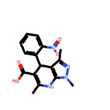 CC1=C(C(=O)O)C(c2ccccc2[N+](=O)[O-])c2c(C)nn(C)c2N1